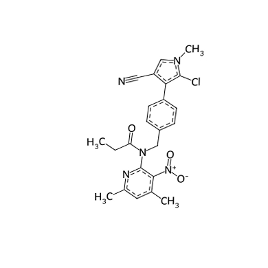 CCC(=O)N(Cc1ccc(-c2c(C#N)cn(C)c2Cl)cc1)c1nc(C)cc(C)c1[N+](=O)[O-]